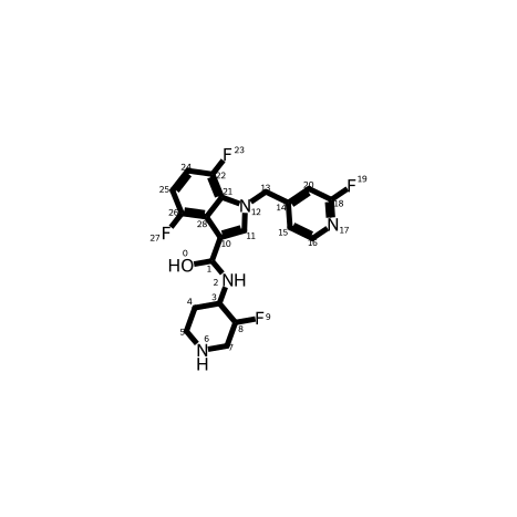 OC(NC1CCNCC1F)c1cn(Cc2ccnc(F)c2)c2c(F)ccc(F)c12